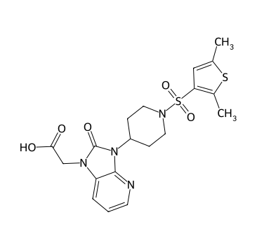 Cc1cc(S(=O)(=O)N2CCC(n3c(=O)n(CC(=O)O)c4cccnc43)CC2)c(C)s1